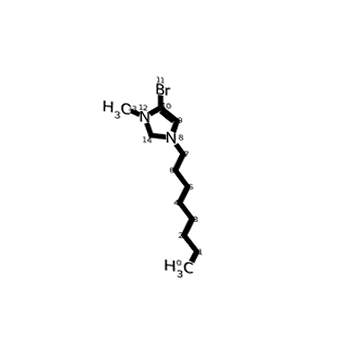 CCCCCCCCN1C=C(Br)N(C)C1